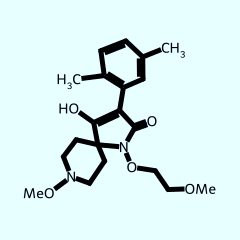 COCCON1C(=O)C(c2cc(C)ccc2C)=C(O)C12CCN(OC)CC2